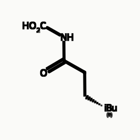 CC[C@@H](C)CCC(=O)NC(=O)O